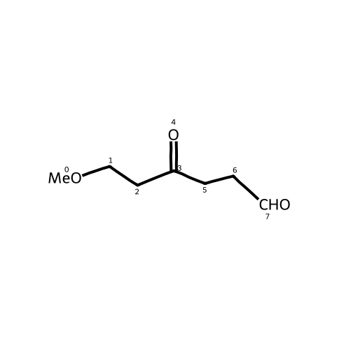 COCCC(=O)CCC=O